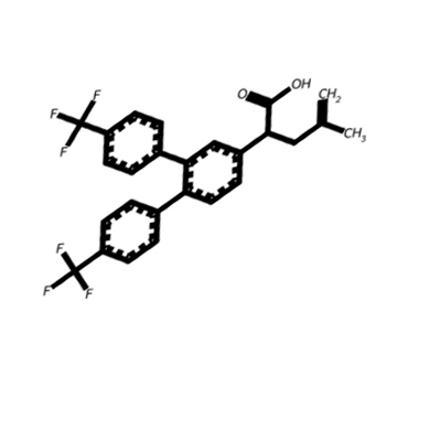 C=C(C)CC(C(=O)O)c1ccc(-c2ccc(C(F)(F)F)cc2)c(-c2ccc(C(F)(F)F)cc2)c1